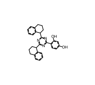 Oc1ccc(-c2nc(C3CCCc4ccccc43)nc(C3CCCc4ccccc43)n2)c(O)c1